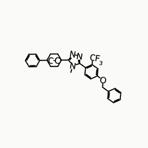 Cn1c(-c2ccc(OCc3ccccc3)cc2C(F)(F)F)nnc1C12CCC(c3ccccc3)(CC1)CC2